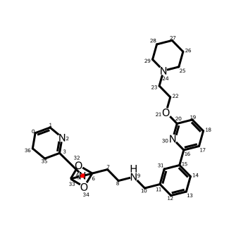 C1=CN=C(N2CC3(CCNCc4cccc(-c5cccc(OCCN6CCCCC6)n5)c4)OC2O3)CC1